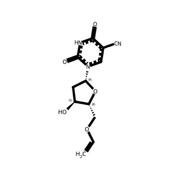 C=COC[C@H]1O[C@@H](n2cc(C#N)c(=O)[nH]c2=O)C[C@@H]1O